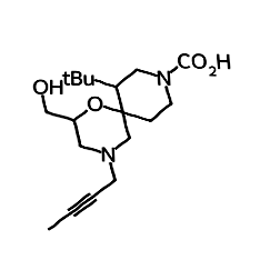 CC#CCN1CC(CO)OC2(CCN(C(=O)O)CC2C(C)(C)C)C1